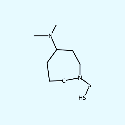 CN(C)C1CCCN(SS)CC1